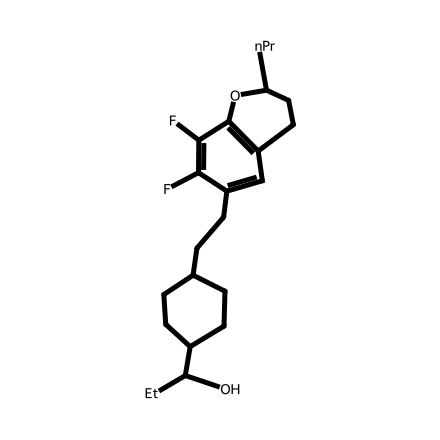 CCCC1CCc2cc(CCC3CCC(C(O)CC)CC3)c(F)c(F)c2O1